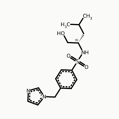 CC(C)C[C@@H](CO)NS(=O)(=O)c1ccc(Cn2ccnc2)cc1